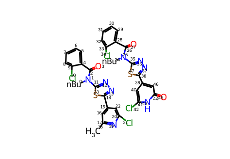 CCCCN(C(=O)c1ccccc1Cl)c1nnc(-c2cc(C)nc(Cl)c2)s1.CCCCN(C(=O)c1ccccc1Cl)c1nnc(-c2cc(Cl)[nH]c(=O)c2)s1